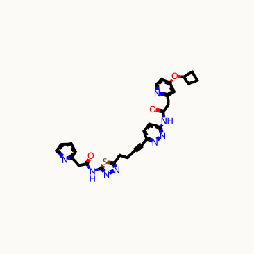 O=C(Cc1cc(OC2CCC2)ccn1)Nc1ccc(C#CCCc2nnc(NC(=O)Cc3ccccn3)s2)nn1